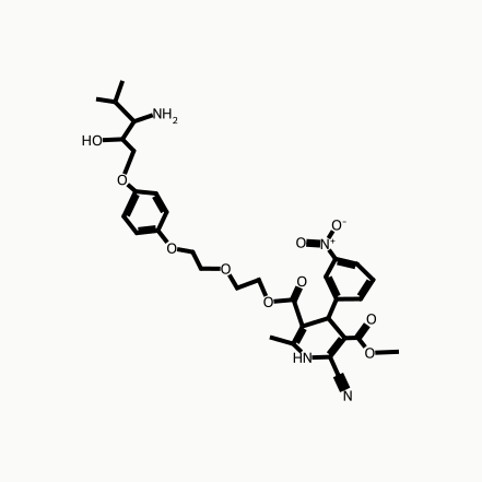 COC(=O)C1=C(C#N)NC(C)=C(C(=O)OCCOCCOc2ccc(OCC(O)C(N)C(C)C)cc2)C1c1cccc([N+](=O)[O-])c1